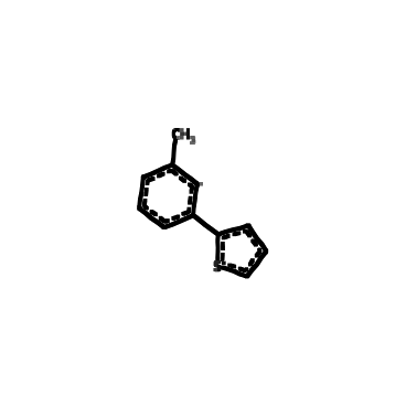 Cc1[c]c(-c2cccs2)ccc1